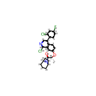 C[C@@H](Oc1ccc2c(-c3ccc(F)cc3Cl)cnc(Cl)c2c1)C(=O)N1C2CCCC1CC2